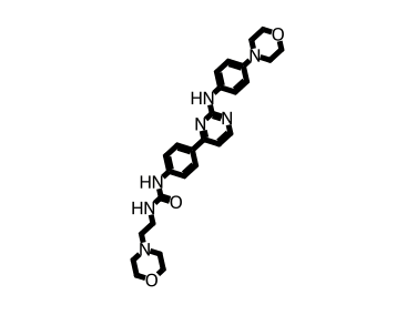 O=C(NCCN1CCOCC1)Nc1ccc(-c2ccnc(Nc3ccc(N4CCOCC4)cc3)n2)cc1